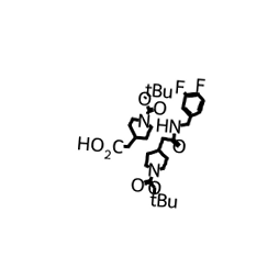 CC(C)(C)OC(=O)N1CCC(CC(=O)NCc2ccc(F)c(F)c2)CC1.CC(C)(C)OC(=O)N1CCC(CC(=O)O)CC1